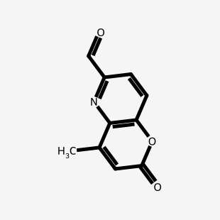 Cc1cc(=O)oc2ccc(C=O)nc12